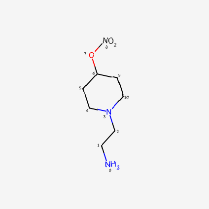 NCCN1CCC(O[N+](=O)[O-])CC1